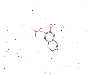 COc1cc2c(cc1OC(C)C)CCN=C2